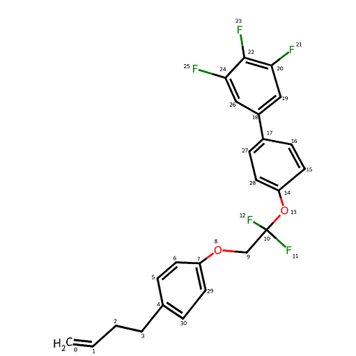 C=CCCc1ccc(OCC(F)(F)Oc2ccc(-c3cc(F)c(F)c(F)c3)cc2)cc1